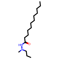 CCCCCCCCCCCC(=O)NN(C)CCC